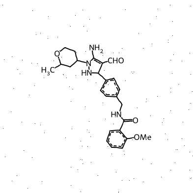 COc1ccccc1C(=O)NCc1ccc(C2NN(C3CCOC(C)C3)C(N)=C2C=O)cc1